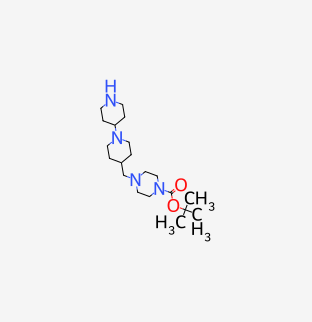 CC(C)(C)OC(=O)N1CCN(CC2CCN(C3CCNCC3)CC2)CC1